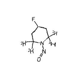 [2H]C1([2H])CC(F)CC([2H])([2H])N1N=O